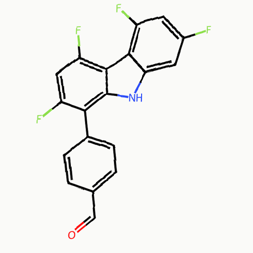 O=Cc1ccc(-c2c(F)cc(F)c3c2[nH]c2cc(F)cc(F)c23)cc1